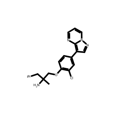 CC(C)CC(C)(N)COc1ccc(-c2cnn3cccnc23)cc1Cl